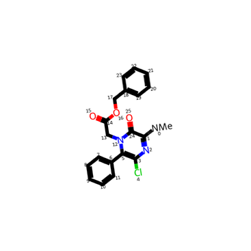 CNc1nc(Cl)c(-c2ccccc2)n(CC(=O)OCc2ccccc2)c1=O